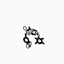 Cc1cc(C)c(C)c(SN2CCN(C(C)C(=O)NCc3ccc4c(c3)OCO4)CC2)c1C